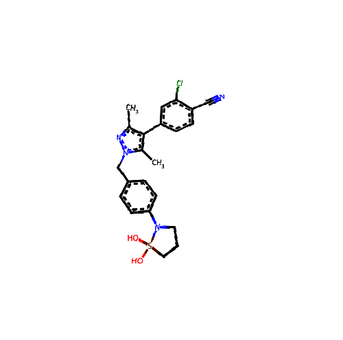 Cc1nn(Cc2ccc(N3CCCS3(O)O)cc2)c(C)c1-c1ccc(C#N)c(Cl)c1